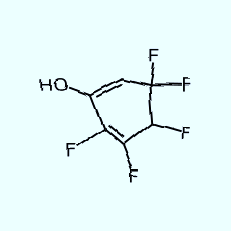 OC1=CC(F)(F)C(F)C(F)=C1F